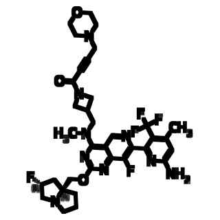 Cc1cc(N)nc(-c2ncc3c(N(C)CC4CN(C(=O)C#CCN5CCOCC5)C4)nc(OC[C@@]45CCCN4C[C@H](F)C5)nc3c2F)c1C(F)(F)F